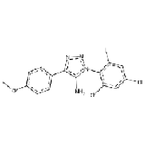 COc1ccc(-c2nnn(-c3c(Cl)cc(Cl)cc3I)c2N)cc1